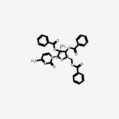 C[C@]1(OC(=O)c2ccccc2)C(OC(=O)c2ccccc2)[C@@H](COC(=O)c2ccccc2)O[C@H]1n1ccc(N)nc1=O